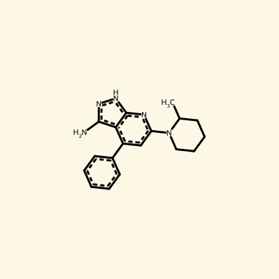 CC1CCCCN1c1cc(-c2ccccc2)c2c(N)n[nH]c2n1